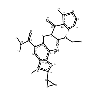 CCOC(=O)C(Cc1c(C(=O)N(C)C)cc2c(nc(C3CC3)n2C)c1O)C(=O)c1ccccc1C